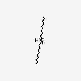 CCCCCCCCCCNCCCCCCCCCC.[Cl][Ti]